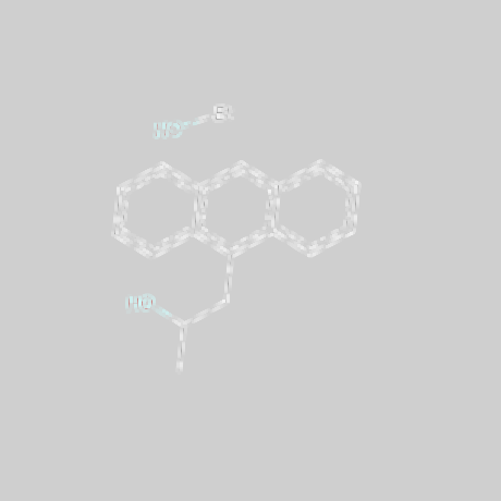 CC(O)Cc1c2ccccc2cc2ccccc12.CCO